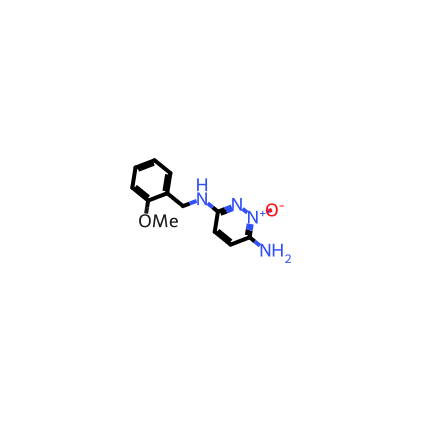 COc1ccccc1CNc1ccc(N)[n+]([O-])n1